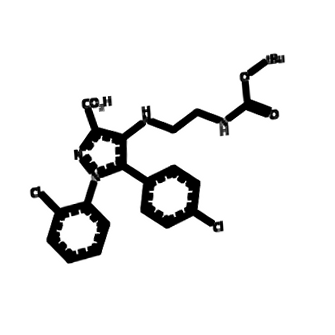 CC(C)(C)OC(=O)NCCNc1c(C(=O)O)nn(-c2ccccc2Cl)c1-c1ccc(Cl)cc1